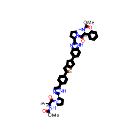 COC(=O)N[C@H](C(=O)N1CCC[C@H]1c1ncc(-c2ccc(-c3cc4c(s3)C=C(c3ccc5[nH]c(C6CCCN6C(=O)[C@H](NC(=O)OC)c6ccccc6)nc5c3)C4)cc2)[nH]1)C(C)C